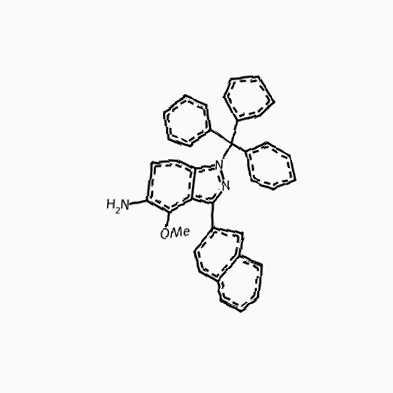 COc1c(N)ccc2c1c(-c1ccc3ccccc3c1)nn2C(c1ccccc1)(c1ccccc1)c1ccccc1